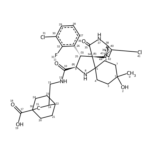 CC1(O)CCC2(CC1)N[C@@H](C(=O)NCC1CC3(C(=O)O)CCC1CC3)[C@H](c1cccc(Cl)c1F)[C@]21C(=O)Nc2cc(Cl)ccc21